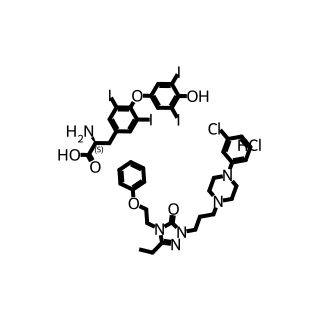 CCc1nn(CCCN2CCN(c3cccc(Cl)c3)CC2)c(=O)n1CCOc1ccccc1.Cl.N[C@@H](Cc1cc(I)c(Oc2cc(I)c(O)c(I)c2)c(I)c1)C(=O)O